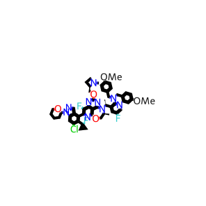 COc1ccc(CN(Cc2ccc(OC)cc2)c2ncc(F)cc2[C@@H](C)N2c3nc(OC[C@H]4CCN4C)nc4c(F)c(-c5c(C6(F)CC6)c(Cl)cc6c5cnn6C5CCCCO5)nc(c34)OC[C@@H]2C)cc1